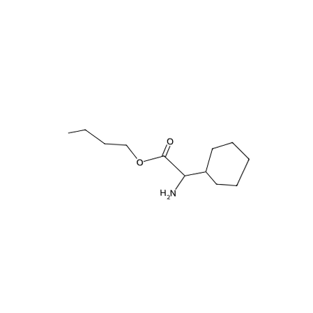 CCCCOC(=O)C(N)C1CCCCC1